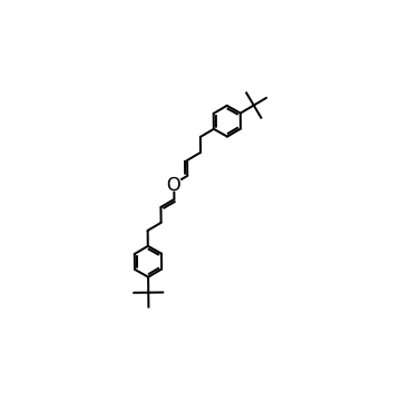 CC(C)(C)c1ccc(CCC=COC=CCCc2ccc(C(C)(C)C)cc2)cc1